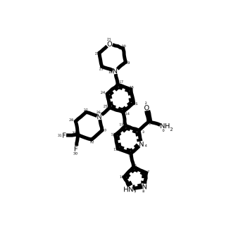 NC(=O)c1nc(-c2cn[nH]c2)ccc1-c1ccc(N2CCOCC2)cc1N1CCC(F)(F)CC1